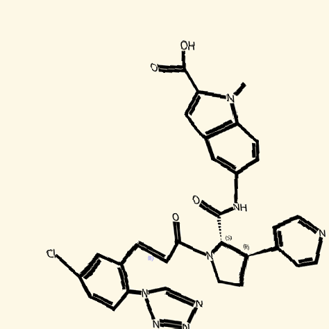 Cn1c(C(=O)O)cc2cc(NC(=O)[C@@H]3[C@@H](c4ccncc4)CCN3C(=O)/C=C/c3cc(Cl)ccc3-n3cnnn3)ccc21